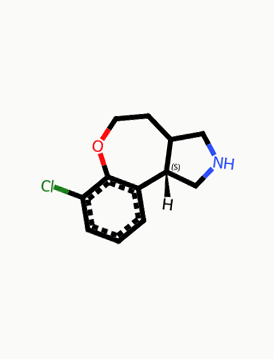 Clc1cccc2c1OCCC1CNC[C@H]21